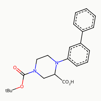 CC(C)(C)OC(=O)N1CCN(c2cccc(-c3ccccc3)c2)C(C(=O)O)C1